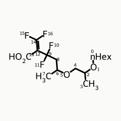 CCCCCCOC(C)COC(C)CC(F)(F)C(C(=O)O)=C(F)F